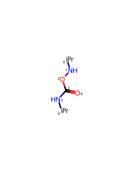 CC(C)NOC(=O)NC(C)C